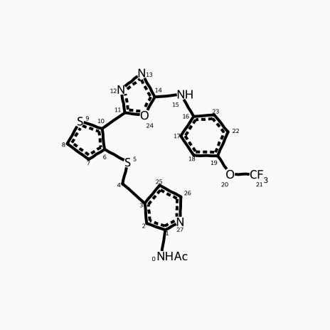 CC(=O)Nc1cc(CSc2ccsc2-c2nnc(Nc3ccc(OC(F)(F)F)cc3)o2)ccn1